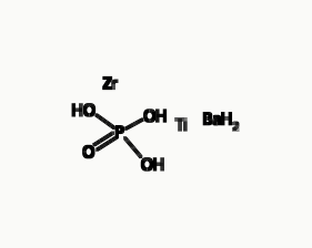 O=P(O)(O)O.[BaH2].[Ti].[Zr]